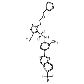 Cc1cc(-c2ncc3cc(C(F)(F)F)ccc3n2)ccc1NS(=O)(=O)c1c(C)cnn1CCOCc1ccccc1